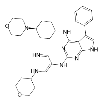 N=C/C(=C\NC1CCOCC1)Nc1nc(N[C@H]2CC[C@H](N3CCOCC3)CC2)c2c(-c3ccccc3)c[nH]c2n1